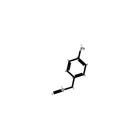 C=BCc1ccc(C(C)C)cc1